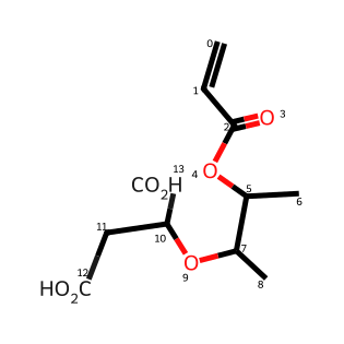 C=CC(=O)OC(C)C(C)OC(CC(=O)O)C(=O)O